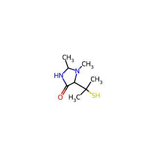 CC1NC(=O)C(C(C)(C)S)N1C